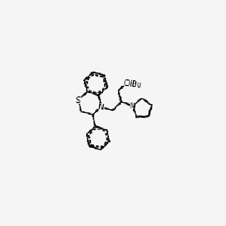 CC(C)COCC(CN1c2ccccc2SCC1c1ccccc1)N1CCCC1